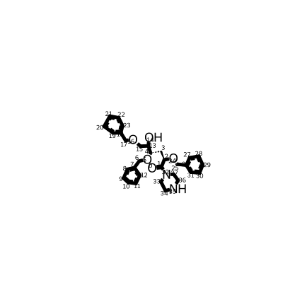 O=C([C@@H](C[C@H](OCc1ccccc1)C(O)COCc1ccccc1)OCc1ccccc1)N1CCNCC1